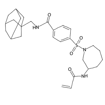 C=CC(=O)NC1CCCCN(S(=O)(=O)c2ccc(C(=O)NCC34CC5CC(CC(C5)C3)C4)cc2)C1